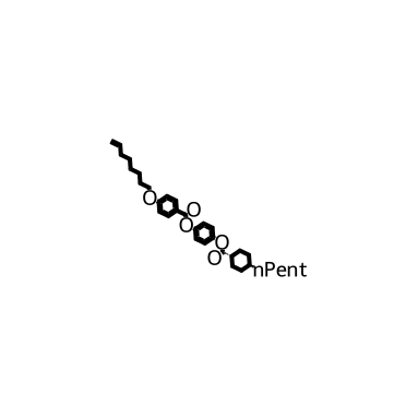 C=CCCCCCCOc1ccc(C(=O)Oc2ccc(OC(=O)[C@H]3CC[C@H](CCCCC)CC3)cc2)cc1